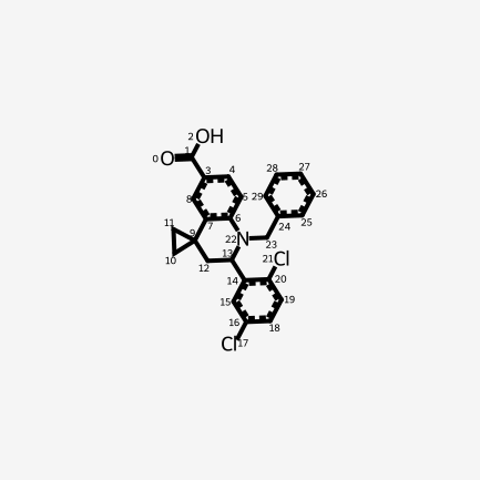 O=C(O)c1ccc2c(c1)C1(CC1)CC(c1cc(Cl)ccc1Cl)N2Cc1ccccc1